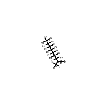 IC(I)(I)[C](C(I)(I)I)C(I)(I)C(I)(I)C(I)(I)C(I)(I)C(I)(I)C(I)(I)C(I)(I)I